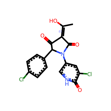 C/C(O)=C1/C(=O)C(c2ccc(Cl)cc2)N(c2c[nH]c(=O)c(Cl)c2)C1=O